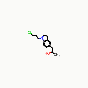 CC(O)Cc1ccc2c(c1)CCN2CCCCl